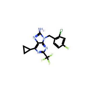 Nc1nc2c(C3CC3)nc(C(F)(F)F)nc2n1Cc1ccc(F)cc1Cl